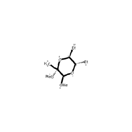 CC[C@@H]1OC(OC)[C@](C)(OC)O[C@H]1CC